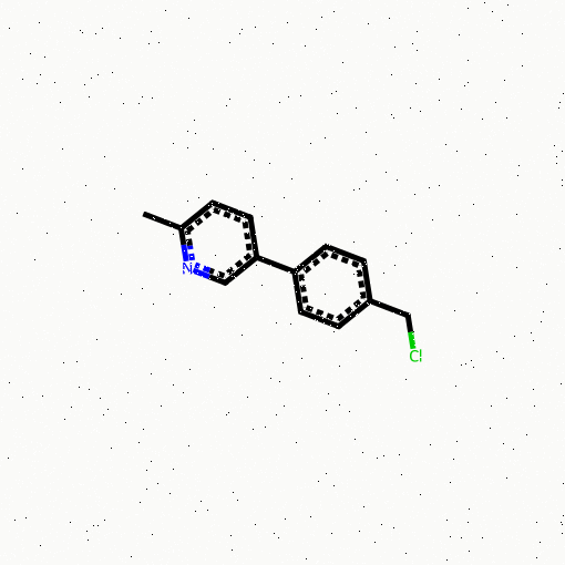 Cc1ccc(-c2ccc(CCl)cc2)cn1